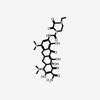 CCN1CCN(C(=O)Nc2cc(N(C)C)c3c(c2O)C(=O)C2=C(O)[C@]4(O)C(=O)C(C(N)=O)=C(O)[C@@H](N(C)C)C4CC2C3)C(=O)C1=O